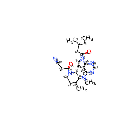 CCC(C)CC(=O)n1ccc2c(N(C)C3CN(C(=O)CC#N)CCC3C)ncnc21